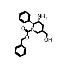 N[C@H]1CC(CO)CN(C(=O)OCc2ccccc2)[C@H]1c1ccccc1